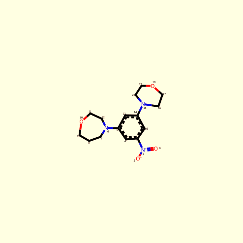 O=[N+]([O-])c1cc(N2CCCOCC2)cc(N2CCOCC2)c1